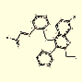 CCc1nc2cc(O)ccc2c(Oc2ccccc2/C=C/C(=O)O)c1-c1ccccc1